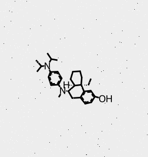 CC[C@@]12CCCC[C@@H]1[C@@H](N(C)c1ccc(N(C(C)C)C(C)C)cc1)Cc1ccc(O)cc12